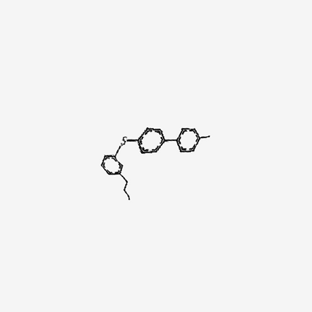 CCCc1cccc(Sc2ccc(-c3ccc(C)cc3)cc2)c1